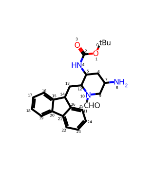 CC(C)(C)OC(=O)NC1CC(N)CN(C=O)C1CC1c2ccccc2-c2ccccc21